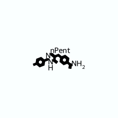 C=C1NC(c2ccc(C)cc2)=NC(CCCCC)=C1Cc1ccc(C(=C)N)cc1